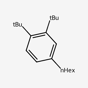 CCCCCCc1ccc(C(C)(C)C)c(C(C)(C)C)c1